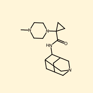 CN1CCN(C2(C(=O)NC3C4CC5CC3CN(C5)C4)CC2)CC1